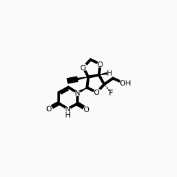 C#C[C@@]12OCO[C@@H]1[C@@](F)(CO)O[C@H]2n1ccc(=O)[nH]c1=O